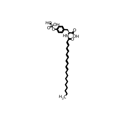 CCCCCCCCCC=CC=CC=CC=CC=CC(=O)N[C@@H](Cc1ccc(OP(=O)(O)O)cc1)C(=O)O